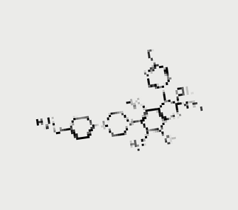 COc1ccc(N2CCN(c3c(C)c(C)c4c(c3C)C(c3ccc(F)nc3)C(C)(C)O4)CC2)cc1